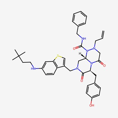 C=CCN1CC(=O)N2[C@@H](Cc3ccc(O)cc3)C(=O)N(Cc3csc4cc(NCCC(C)(C)C)ccc34)C[C@@H]2N1C(=O)NCc1ccccc1